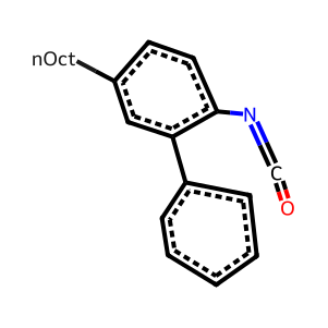 CCCCCCCCc1ccc(N=C=O)c(-c2ccccc2)c1